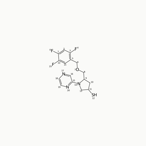 Fc1cc(F)c(COCC2CC(S)CN2c2cnccn2)cc1F